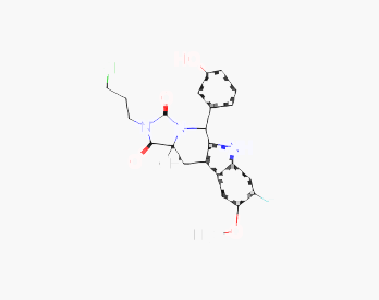 COc1cc2c3c([nH]c2cc1F)C(c1cccc(O)c1)N1C(=O)N(CCCCl)C(=O)C1(C)C3